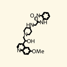 COc1ccc2nccc(C(O)CN3CCC(NCC(=O)Nc4ccccc4[N+](=O)[O-])CC3)c2c1